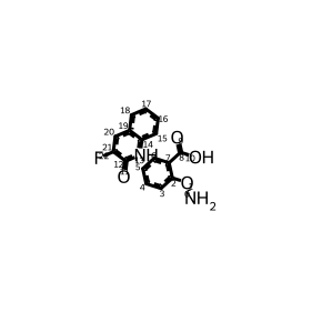 NOc1ccccc1C(=O)O.O=c1[nH]c2ccccc2cc1F